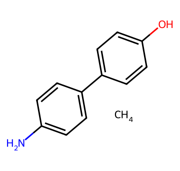 C.Nc1ccc(-c2ccc(O)cc2)cc1